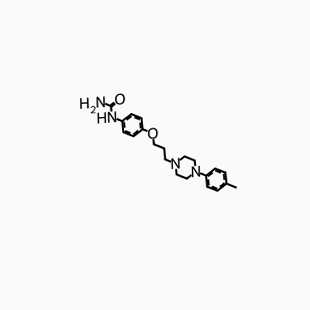 Cc1ccc(N2CCN(CCCOc3ccc(NC(N)=O)cc3)CC2)cc1